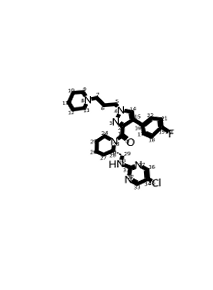 O=C(c1nn(CCCN2CCCCC2)cc1-c1ccc(F)cc1)N1CCCC[C@H]1CNc1ncc(Cl)cn1